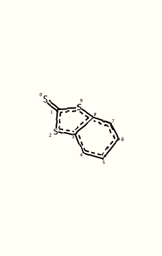 S=c1sc2ccccc2s1